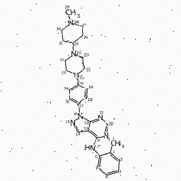 Cc1ccccc1Nc1ncnc2c1cnn2-c1ccc(N2CCN(C3CCN(C)CC3)CC2)cc1